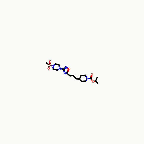 CC(C)OC(=O)N1CCC(CCCc2nc(N3CCN(S(C)(=O)=O)CC3)no2)CC1